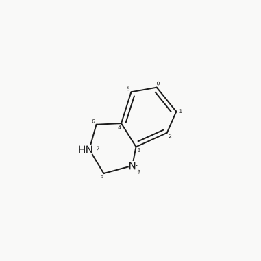 c1ccc2c(c1)CNC[N]2